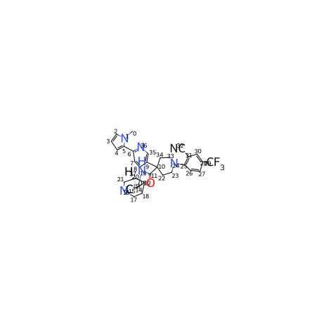 Cn1cccc1-c1ccc(C2(C(=O)N[C@@H]3CN4CCC3CC4)CCN(c3ccc(C(F)(F)F)cc3C#N)CC2)cn1